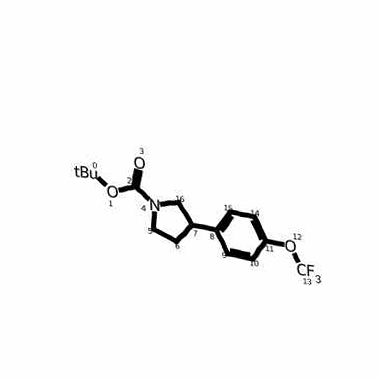 CC(C)(C)OC(=O)N1CCC(c2ccc(OC(F)(F)F)cc2)C1